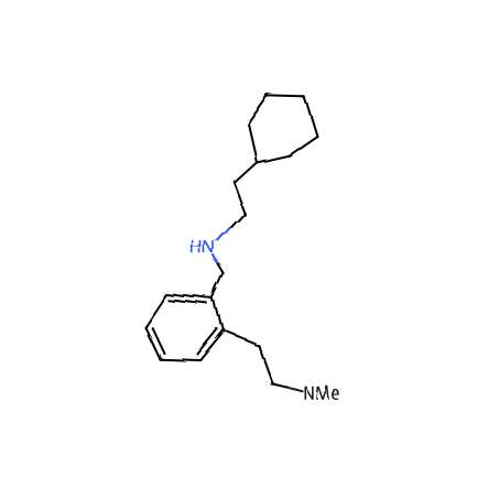 CNCCc1ccccc1CNCCC1CCCCC1